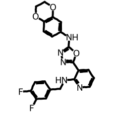 Fc1ccc(CNc2ncccc2-c2nnc(Nc3ccc4c(c3)OCCO4)o2)cc1F